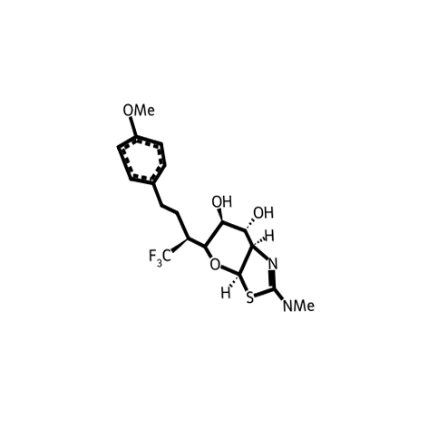 CNC1=N[C@@H]2[C@@H](O)[C@H](O)C([C@H](CCc3ccc(OC)cc3)C(F)(F)F)O[C@@H]2S1